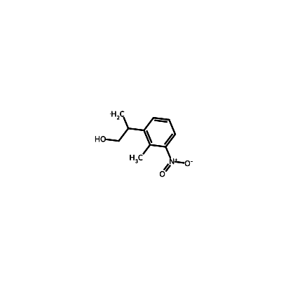 [CH2]C(CO)c1cccc([N+](=O)[O-])c1C